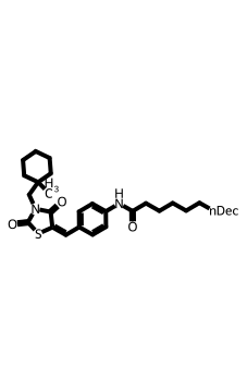 CCCCCCCCCCCCCCCC(=O)Nc1ccc(C=C2SC(=O)N(CC3(C)CCCCC3)C2=O)cc1